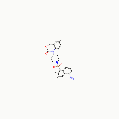 Cc1ccc2c(c1)COC(=O)N2C1CCN(S(=O)(=O)c2c(C)c(C)cc3c(N)cccc23)CC1